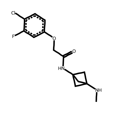 CNC12CC(NC(=O)COc3ccc(Cl)c(F)c3)(C1)C2